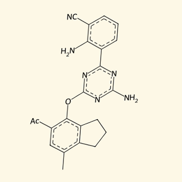 CC(=O)c1cc(C)c2c(c1Oc1nc(N)nc(-c3cccc(C#N)c3N)n1)CCC2